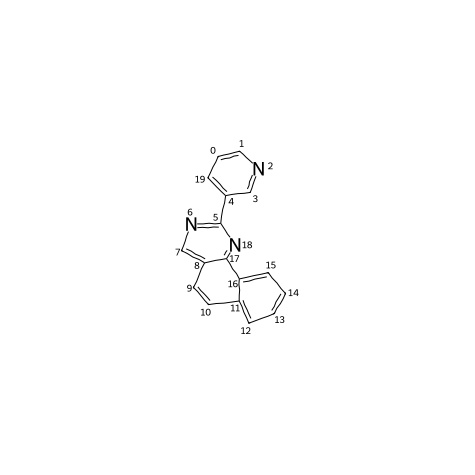 c1cncc(-c2ncc3ccc4ccccc4c3n2)c1